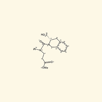 COC(=O)CCN(C(=O)N1Cc2ccccc2C[C@H]1C(=O)O)C(C)C